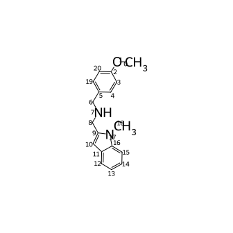 COc1ccc(CNCc2cc3ccccc3n2C)cc1